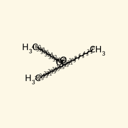 CCCCCCCCCCCCCCC(CCCCCCCCCCCC)C(=O)OCCCCCCCCCCCC